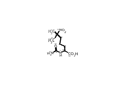 CC(C)(CCCC(NC(N)=O)C(=O)O)[N+](=O)[O-]